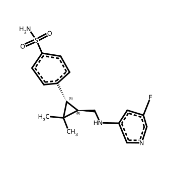 CC1(C)[C@H](CNc2cncc(F)c2)[C@H]1c1ccc(S(N)(=O)=O)cc1